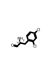 N[C@H](C=O)Cc1ccc(Cl)cc1Cl